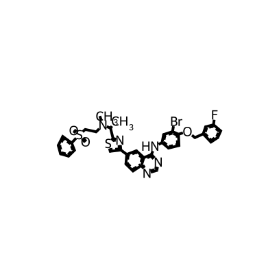 CC(c1nc(-c2ccc3ncnc(Nc4ccc(OCc5cccc(F)c5)c(Br)c4)c3c2)cs1)N(C)CCS(=O)(=O)c1ccccc1